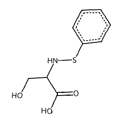 O=C(O)C(CO)NSc1ccccc1